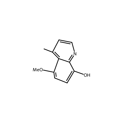 COc1ccc(O)c2nccc(C)c12